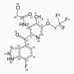 Cc1c(OCC(F)(F)F)cnc(C(=O)c2ccc(F)c3[nH]ncc23)c1NC(=O)CCl